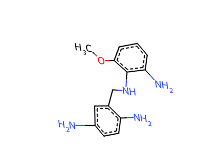 COc1cccc(N)c1NCc1cc(N)ccc1N